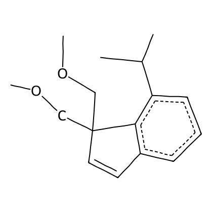 COCC1(COC)C=Cc2cccc(C(C)C)c21